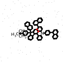 CC(C)(C)c1ccc(C2(c3ccc4ccccc4c3)c3ccccc3-c3c(-c4ccccc4N(c4ccc(-c5cccc6ccccc56)cc4)c4ccc(-c5cccc6ccccc56)cc4)cccc32)cc1